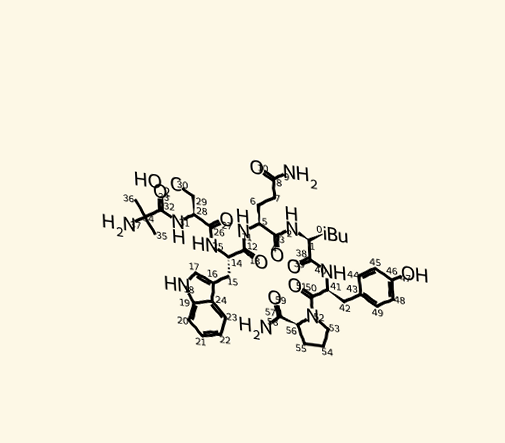 CC[C@H](C)[C@H](NC(=O)[C@H](CCC(N)=O)NC(=O)[C@H](Cc1c[nH]c2ccccc12)NC(=O)[C@H](CC(=O)O)NC(=O)C(C)(C)N)C(=O)N[C@@H](Cc1ccc(O)cc1)C(=O)N1CCC[C@H]1C(N)=O